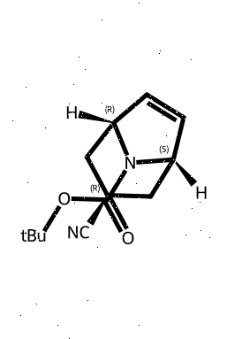 CC(C)(C)OC(=O)N1[C@@H]2C=C[C@H]1C[C@H](C#N)C2